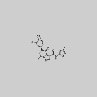 Cc1cc(NC(=O)c2cnn3c2C(=O)N(c2ccc(C(F)(F)F)c(Cl)c2)C[C@@H]3C)on1